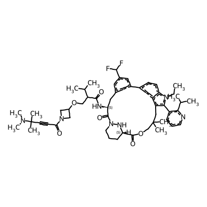 CCn1c(-c2cccnc2C(C)C)c2c3cc(ccc31)-c1cc(cc(C(F)F)c1)C[C@H](NC(=O)C(COC1CN(C(=O)C#CC(C)(C)N(C)C)C1)C(C)C)C(=O)N1CCC[C@H](N1)C(=O)OCC(C)(C)C2